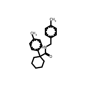 Cc1ccc(CNC(=O)C2(c3ccc(C)cc3)CCCCC2)cc1